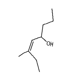 CCCC(O)C=C(C)CC